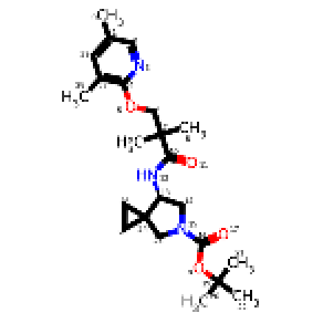 Cc1cnc(OCC(C)(C)C(=O)N[C@H]2CN(C(=O)OC(C)(C)C)CC23CC3)c(C)c1